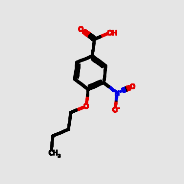 CCCCOc1ccc(C(=O)O)cc1[N+](=O)[O-]